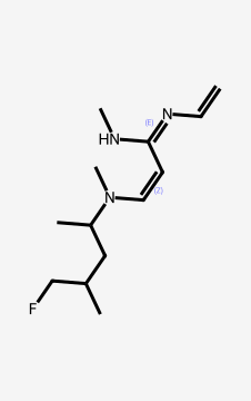 C=C/N=C(\C=C/N(C)C(C)CC(C)CF)NC